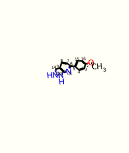 COc1ccc(-c2ccc3c(n2)NNC3)cc1